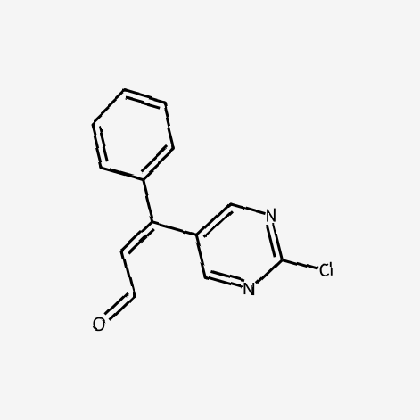 O=CC=C(c1ccccc1)c1cnc(Cl)nc1